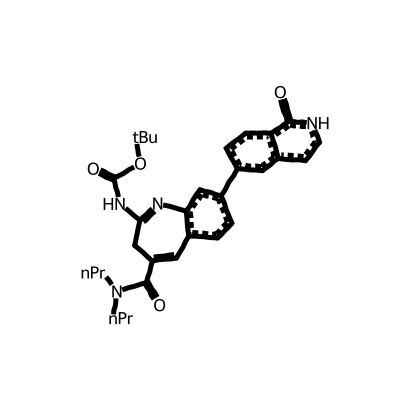 CCCN(CCC)C(=O)C1=Cc2ccc(-c3ccc4c(=O)[nH]ccc4c3)cc2N=C(NC(=O)OC(C)(C)C)C1